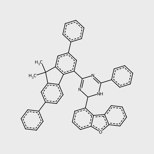 CC1(C)c2cc(-c3ccccc3)ccc2-c2c(C3=NC(c4cccc5oc6ccccc6c45)NC(c4ccccc4)=N3)cc(-c3ccccc3)cc21